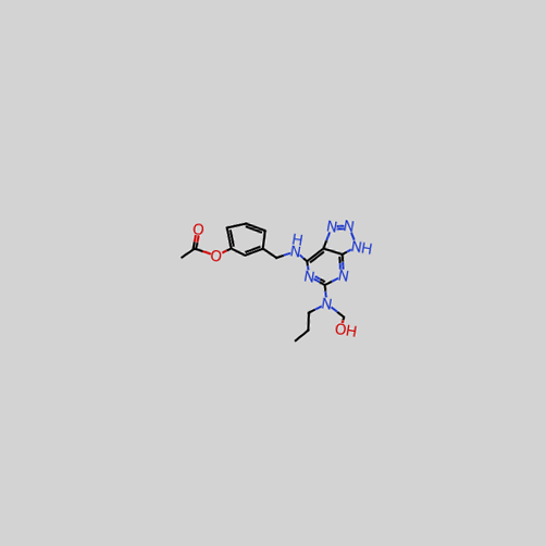 CCCN(CO)c1nc(NCc2cccc(OC(C)=O)c2)c2nn[nH]c2n1